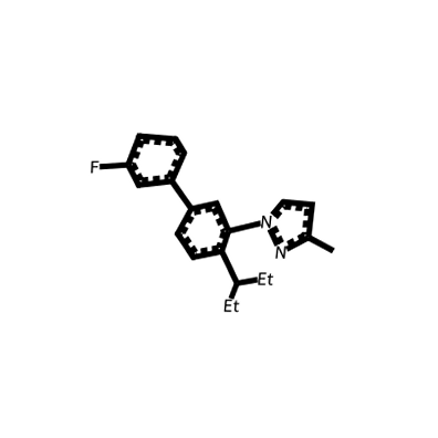 CCC(CC)c1ccc(-c2cccc(F)c2)cc1-n1ccc(C)n1